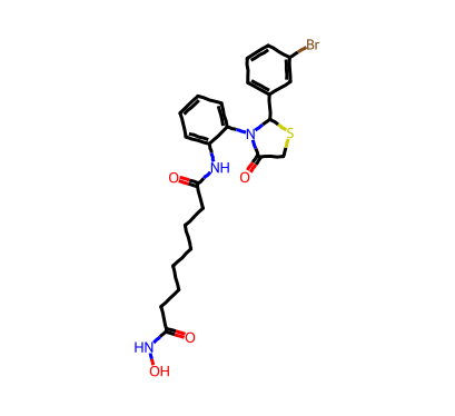 O=C(CCCCCCC(=O)Nc1ccccc1N1C(=O)CSC1c1cccc(Br)c1)NO